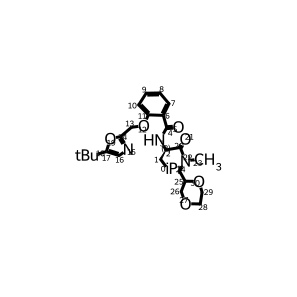 CC(C)C[C@@H](NC(=O)c1ccccc1OCc1ncc(C(C)(C)C)o1)C(=O)N(C)CC1COCCO1